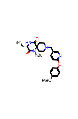 CCCCN1C(=O)[C@H](CC(C)C)NC(=O)C12CCN(Cc1ccc(Oc3ccc(OC)cc3)nc1)CC2